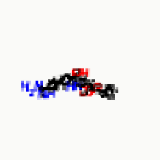 N=C(N)c1ccc(-c2ccc(C(O)[C@@H]3C[C@@H](CC(=O)OCC4CCCCC4)C(=O)N3)cc2)cc1